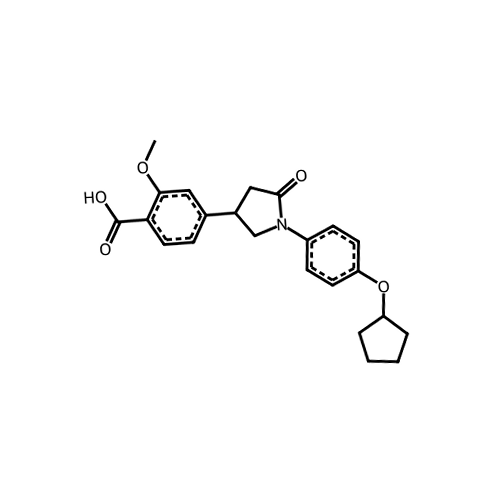 COc1cc(C2CC(=O)N(c3ccc(OC4CCCC4)cc3)C2)ccc1C(=O)O